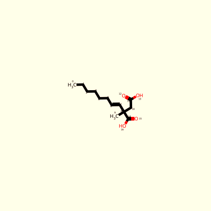 CCCCCCC=CC(C)(CC(=O)O)C(=O)O